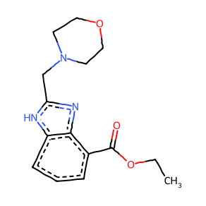 CCOC(=O)c1cccc2[nH]c(CN3CCOCC3)nc12